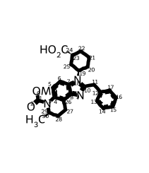 COC(=O)N1c2ccc3c(nc(Cc4ccccc4)n3[C@@H]3CCC[C@@H](C(=O)O)C3)c2CC[C@H]1C